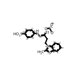 CCC(CC[n+]1c(C)sc2ccccc21)=NNc1ccc(S(=O)(=O)O)cc1.[O-][I+2]([O-])[O-]